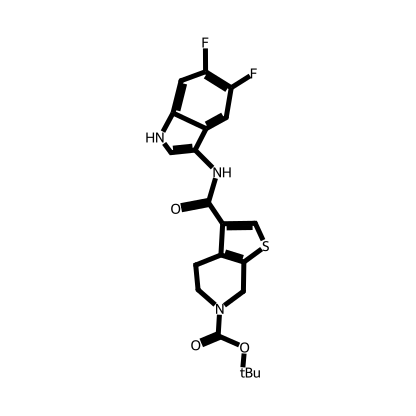 CC(C)(C)OC(=O)N1CCc2c(C(=O)Nc3c[nH]c4cc(F)c(F)cc34)csc2C1